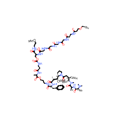 CC[C@H](C)[C@@H]([C@@H](CC(=O)N1CCC[C@H]1[C@H](OC)[C@@H](C)C(=O)N[C@@H](Cc1ccccc1)C(=O)NCCCOC(=O)C(C)NC(=O)CCNC(=O)OCC(NC(=O)CNC(=O)CNC(=O)CNC(=O)CNC(=O)CCNC(=O)CCOCC(C)(C)C)C(=O)NCCOC)OC)N(C)C(=O)C(NC(=O)[C@H](C(C)C)N(C)C)C(C)C